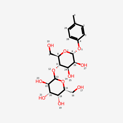 Cc1ccc(O[C@H]2O[C@H](CO)[C@@H](OC3O[C@H](CO)[C@H](O)[C@H](O)[C@H]3O)[C@H](O)[C@@H]2O)cc1